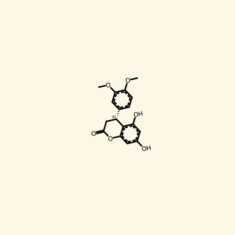 COc1ccc([C@H]2CC(=O)Oc3cc(O)cc(O)c32)cc1OC